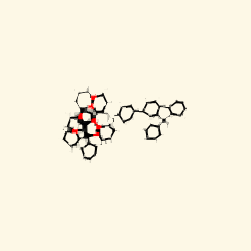 CC1(c2ccccc2)c2ccccc2-c2ccc(-c3ccc(N(c4ccccc4-c4cccc5cccc(C6CCCCC6)c45)c4cccc5c4-c4ccccc4C5(c4ccccc4)c4ccccc4)cc3)cc21